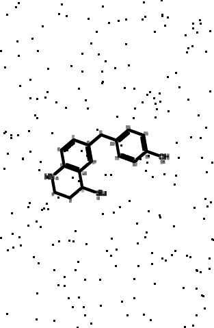 CC(C)(C)C1CCNc2ccc(Cc3ccc(O)cc3)cc21